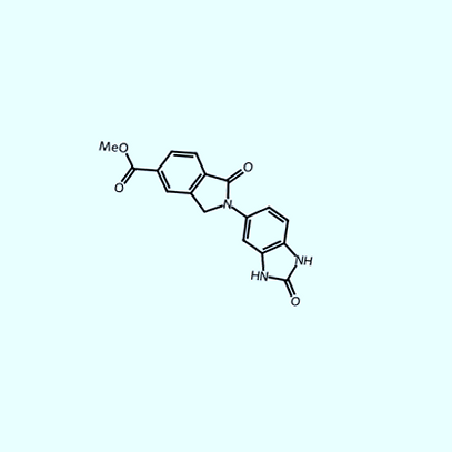 COC(=O)c1ccc2c(c1)CN(c1ccc3[nH]c(=O)[nH]c3c1)C2=O